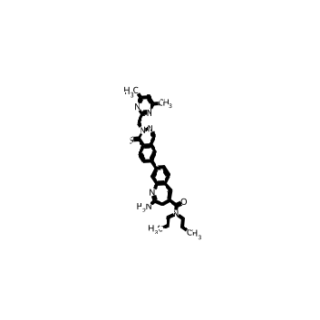 CCCN(CCC)C(=O)C1=Cc2ccc(-c3ccc4c(=S)n(Cc5nc(C)cc(C)n5)ncc4c3)cc2N=C(N)C1